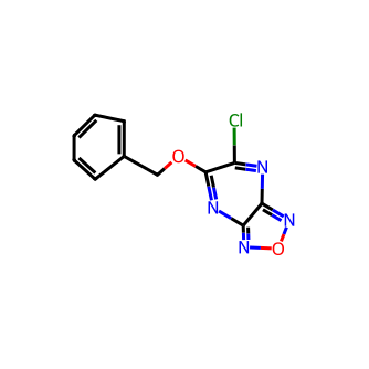 Clc1nc2nonc2nc1OCc1ccccc1